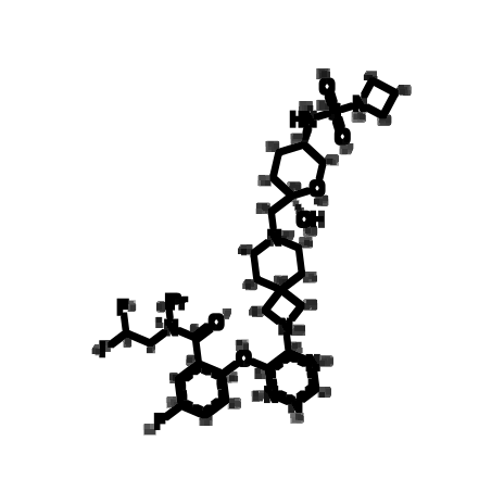 CC(C)N(CC(F)F)C(=O)c1cc(F)ccc1Oc1nncnc1N1CC2(CCN(C[C@@]3(O)CC[C@@H](NS(=O)(=O)N4CCC4)CO3)CC2)C1